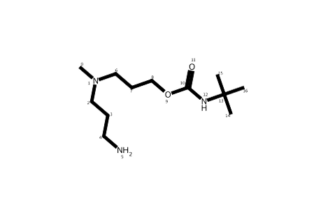 CN(CCCN)CCCOC(=O)NC(C)(C)C